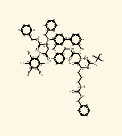 CC(C)(C)OC(=O)N[C@@H](CCCNC(=O)OCc1ccccc1)C(=O)N[C@@H](Cc1cccc(-c2ccc(OCc3ccccc3)c(C[C@H](NC(=O)OCc3ccccc3)C(=O)Oc3c(F)c(F)c(F)c(F)c3F)c2)c1)C(=O)OCc1ccccc1